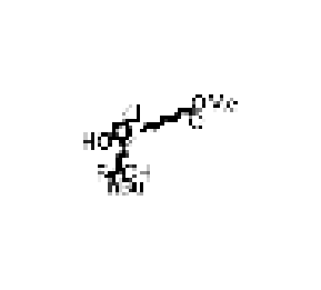 CCCCC(F)[C@H](O)C=C[C@@H]1[C@@H](CC=CCCCC(=O)OC)[C@H](Cl)C[C@H]1O